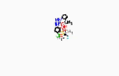 CC1=CCCC1NC(=O)Nc1ccc(Cl)c(S(=O)(=O)C(C)(C)CF)c1O